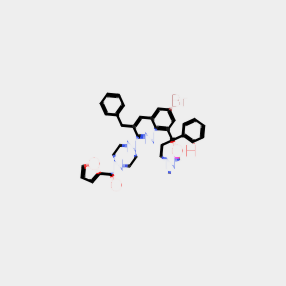 CN(C)CCC(O)(c1ccccc1)c1cc(Br)cc2cc(Cc3ccccc3)c(N3CCN(C(=O)c4ccco4)CC3)nc12